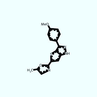 COc1ccc(-c2n[nH]c3cc(-c4ncc(C)o4)sc23)cc1